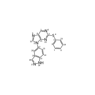 c1ccc(Sc2ncc3ncn(-c4ccc5[nH]ncc5c4)c3n2)cc1